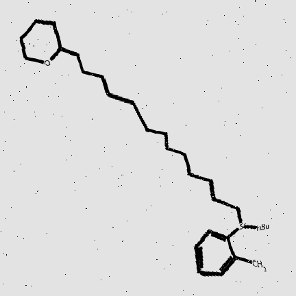 CCCC[S+](CCCCCCCCCCCCCC1CCCCO1)c1ccccc1C